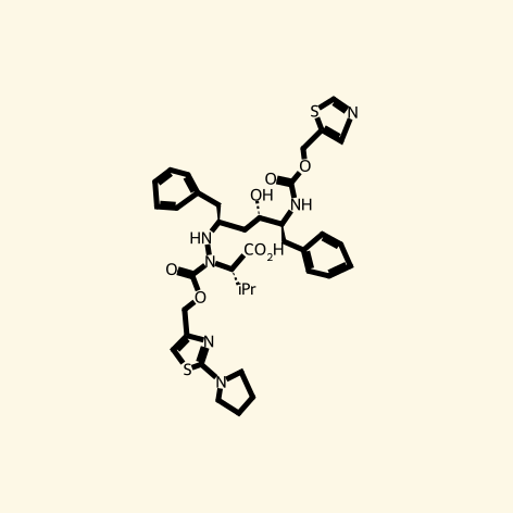 CC(C)[C@@H](C(=O)O)N(N[C@@H](Cc1ccccc1)C[C@H](O)[C@H](Cc1ccccc1)NC(=O)OCc1cncs1)C(=O)OCc1csc(N2CCCC2)n1